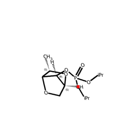 CC(C)C[C@@]12COC([C@H](C)O1)[C@H]2OP(=O)(O)OC(C)C